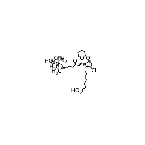 C[C@H](CCCC(=O)/C=C/[C@@H]1[C@@H](CCCCCCC(=O)O)[C@H](Cl)C[C@H]1OC1CCCCO1)CC(C)(C)[Si](C)(C)O